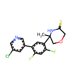 CC1(c2cc(-c3cncc(Cl)c3)c(F)cc2F)COCC(=S)N1